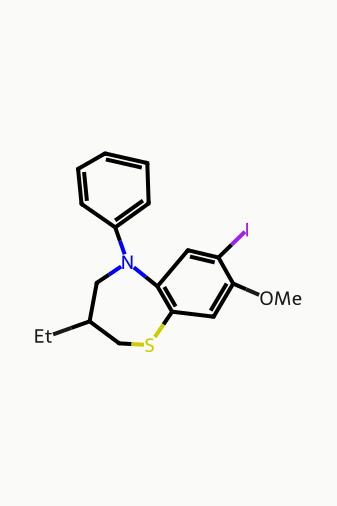 CCC1CSc2cc(OC)c(I)cc2N(c2ccccc2)C1